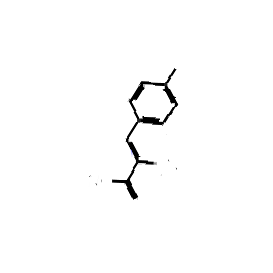 C=C(C#N)/C(C#N)=C/c1ccc(C)cc1